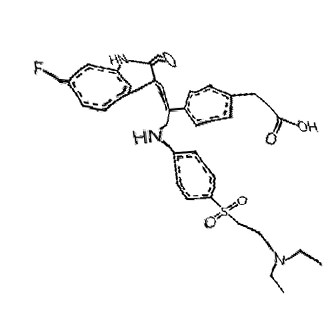 CCN(CC)CCS(=O)(=O)c1ccc(NC(=C2C(=O)Nc3cc(F)ccc32)c2ccc(CC(=O)O)cc2)cc1